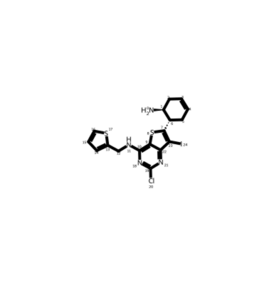 N[C@H]1CC=CC[C@@H]1c1sc2c(NCc3cccs3)nc(Cl)nc2c1I